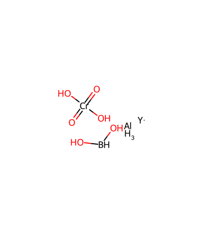 OBO.[AlH3].[O]=[Cr](=[O])([OH])[OH].[Y]